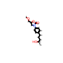 COCC1CN(c2ccc(CCC[C@@H](C)O)cc2)C(=O)O1